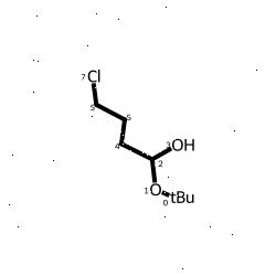 CC(C)(C)OC(O)CCCCl